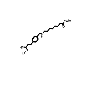 CCOC(O)CCc1ccc(CNCCCCCCCC(=O)OC)cc1